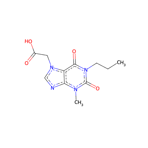 CCCn1c(=O)c2c(ncn2CC(=O)O)n(C)c1=O